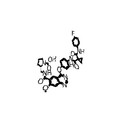 COc1cc2ncnc(Oc3ccc(NC(=O)C4(C(=O)Nc5ccc(F)cc5)CC4)cc3)c2cc1C(=O)NC[C@@H]1CCCN1C(=O)O